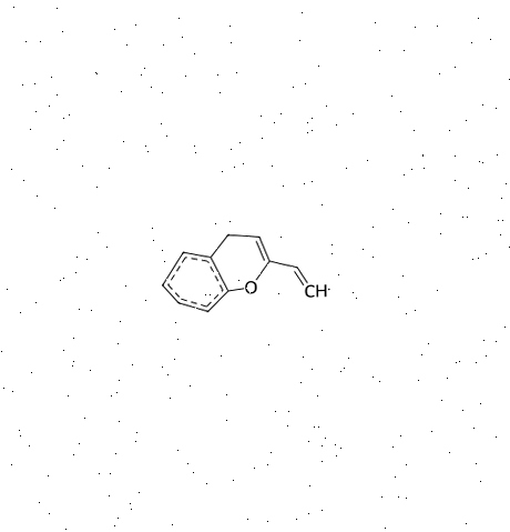 [CH]=CC1=CCc2ccccc2O1